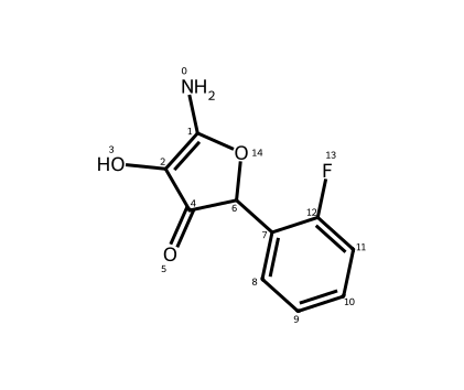 NC1=C(O)C(=O)C(c2ccccc2F)O1